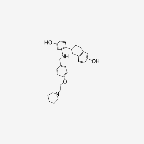 Oc1ccc2c(c1)CCC(c1ccc(O)cc1NCc1ccc(OCCN3CCCCC3)cc1)C2